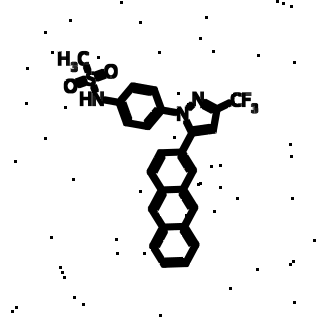 CS(=O)(=O)Nc1ccc(-n2nc(C(F)(F)F)cc2-c2ccc3cc4ccccc4cc3c2)cc1